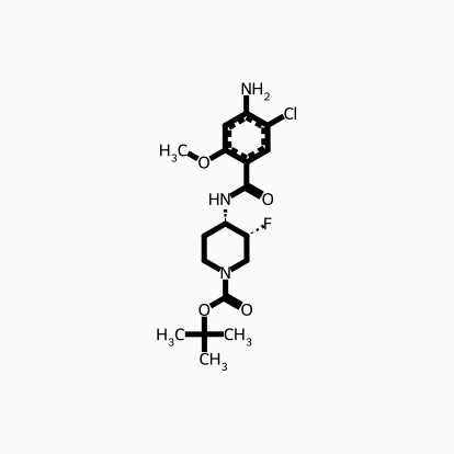 COc1cc(N)c(Cl)cc1C(=O)N[C@H]1CCN(C(=O)OC(C)(C)C)C[C@H]1F